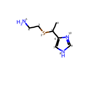 CC(SCCN)c1c[nH]cn1